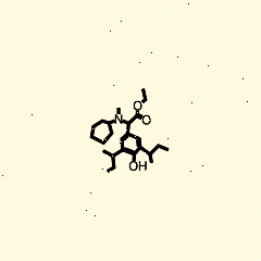 CCOC(=O)C(c1cc(C(C)CC)c(O)c(C(C)CC)c1)N(C)C1CCCCC1